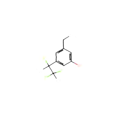 FC(F)(F)Cc1[c]c(Br)cc(C(F)(C(F)(F)F)C(F)(F)C(F)(F)F)c1